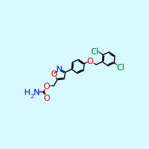 NC(=O)OCc1cc(-c2ccc(OCc3cc(Cl)ccc3Cl)cc2)no1